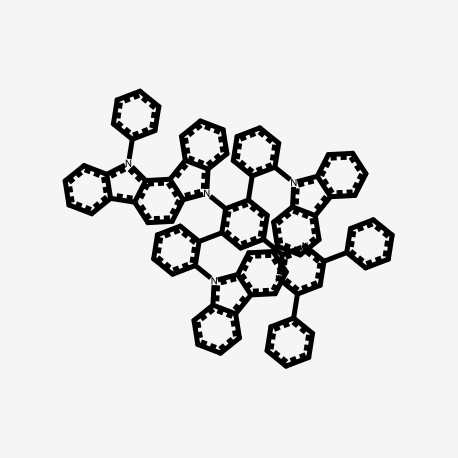 c1ccc(-c2cc(-c3ccccc3)nc(-c3cc(-c4ccccc4-n4c5ccccc5c5ccccc54)c(-n4c5ccccc5c5c4ccc4c6ccccc6n(-c6ccccc6)c45)c(-c4ccccc4-n4c5ccccc5c5ccccc54)c3)n2)cc1